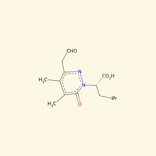 Cc1c(CC=O)nn([C@@H](CC(C)C)C(=O)O)c(=O)c1C